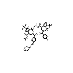 CC(C)OC(=O)C1=CN(C(=O)c2ccc(OCCN3CCOCC3)cc2)CC(C)(CCC(C)OC(=O)C2=CN(C(=O)c3ccc(F)c(F)c3)CC(C)(C)c3c(C(F)(F)F)noc32)c2c1nc(C(F)(F)F)n2C